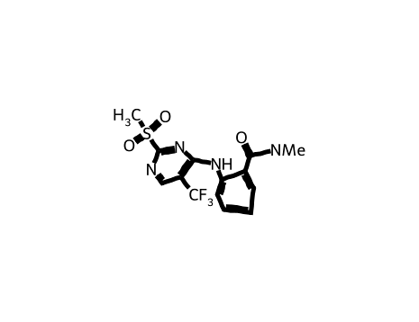 CNC(=O)c1ccccc1Nc1nc(S(C)(=O)=O)ncc1C(F)(F)F